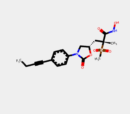 C[C@@](C[C@H]1CN(c2ccc(C#CCC(F)(F)F)cc2)C(=O)O1)(C(=O)NO)S(C)(=O)=O